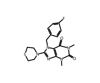 Cn1c(=O)c2c(nc(N3CCSCC3)n2Cc2ccc(F)cc2)n(C)c1=O